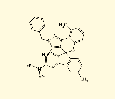 CCCN(CCC)c1ccc2c(c1)-c1cc(C)ccc1C21Oc2cccc(C)c2-c2nn(Cc3ccccc3)c(C)c21